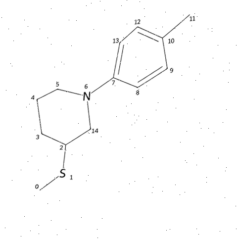 CSC1CCCN(c2ccc(C)cc2)C1